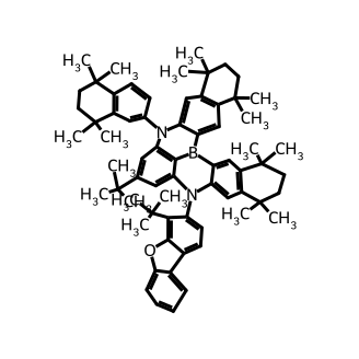 CC(C)(C)c1cc2c3c(c1)N(c1ccc4c(oc5ccccc54)c1C(C)(C)C)c1cc4c(cc1B3c1cc3c(cc1N2c1ccc2c(c1)C(C)(C)CCC2(C)C)C(C)(C)CCC3(C)C)C(C)(C)CCC4(C)C